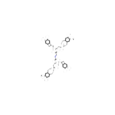 COc1cc2c(cc1OC)CCN(C(=O)CC(OC(=O)/C=C/C(=O)OC(CC(=O)N1CCc3cc(OC)c(OC)cc3CC1)N(C)C[C@H]1Cc3cc(OC)c(OC)cc31)N(C)C[C@H]1Cc3cc(OC)c(OC)cc31)CC2